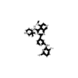 COc1cncc2nc(-c3ccnc(Nc4nc(F)ccc4F)c3)nc(N[C@H]3CCNCC3(C)C)c12